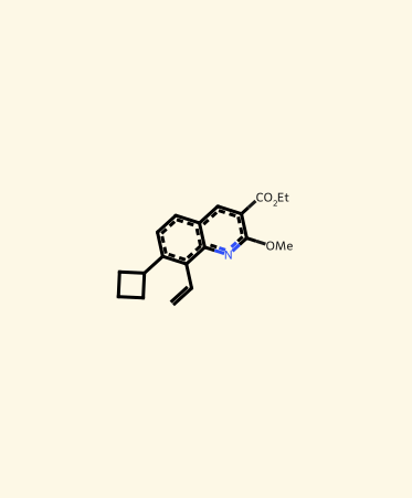 C=Cc1c(C2CCC2)ccc2cc(C(=O)OCC)c(OC)nc12